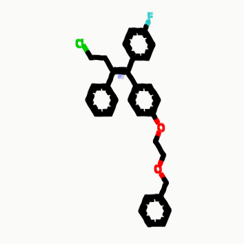 Fc1ccc(/C(=C(\CCCl)c2ccccc2)c2ccc(OCCOCc3ccccc3)cc2)cc1